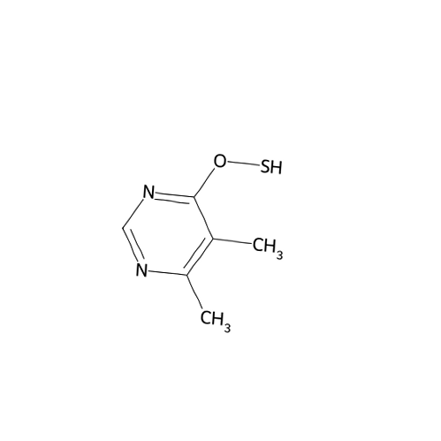 Cc1ncnc(OS)c1C